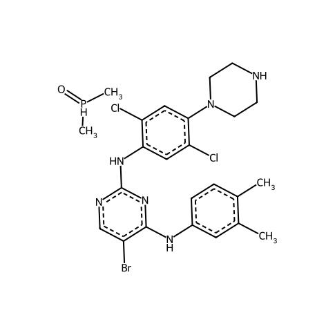 C[PH](C)=O.Cc1ccc(Nc2nc(Nc3cc(Cl)c(N4CCNCC4)cc3Cl)ncc2Br)cc1C